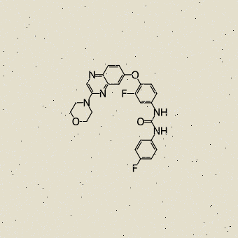 O=C(Nc1ccc(F)cc1)Nc1ccc(Oc2ccc3ncc(N4CCOCC4)nc3c2)c(F)c1